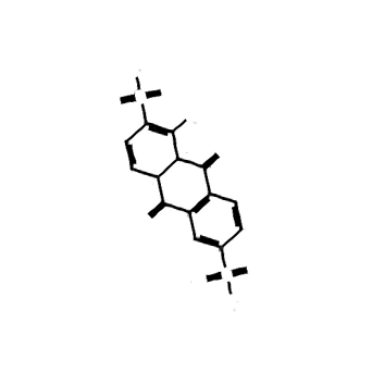 O=C1c2cc(S(=O)(=O)O)ccc2C(=O)C2C(O)=C(S(=O)(=O)O)C=CC12